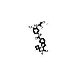 C=CC(=O)Nc1cc(NC(=O)c2ccc3cc4n(c3c2)C2(CCC2)CNC4=O)ccc1C